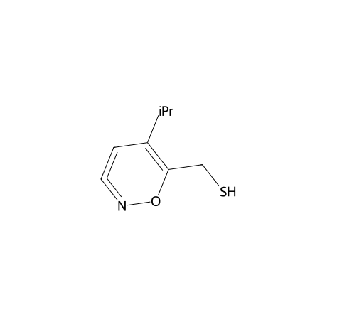 CC(C)C1=C(CS)ON=C=C1